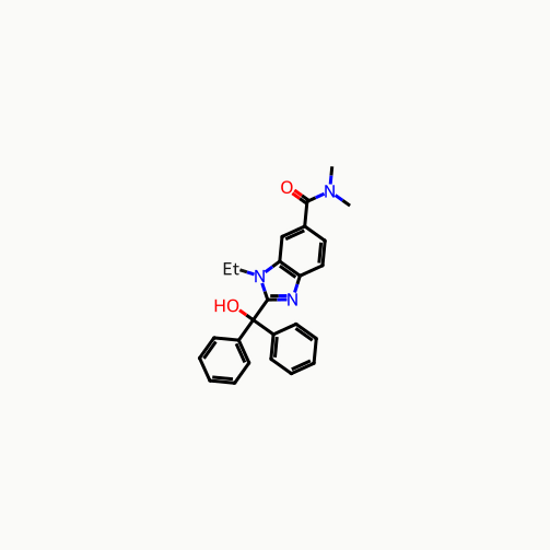 CCn1c(C(O)(c2ccccc2)c2ccccc2)nc2ccc(C(=O)N(C)C)cc21